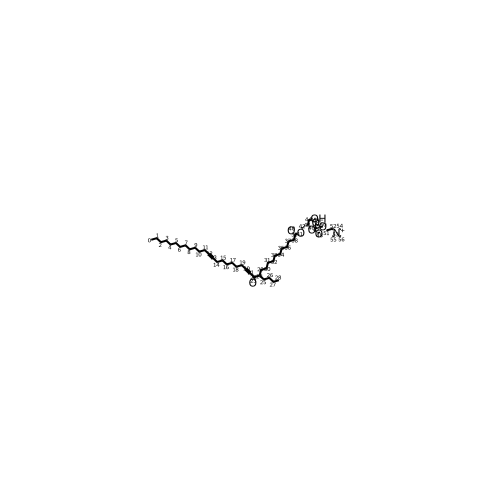 CCCCCCCCCCCCC#CCCCCCCC#CC(=O)C(CCCC)CCCCCCCCCCC(=O)OC[C@H](CO)OP(=O)([O-])OCC[N+](C)(C)C